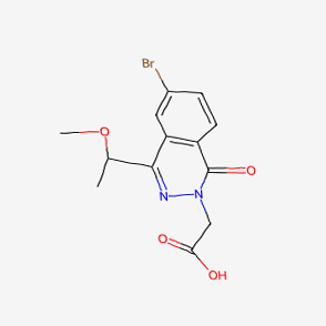 COC(C)c1nn(CC(=O)O)c(=O)c2ccc(Br)cc12